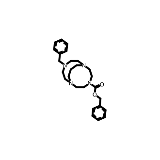 O=C(OCc1ccccc1)N1CCN2CCCN(CCN(Cc3ccccc3)CC2)CC1